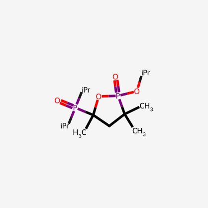 CC(C)OP1(=O)OC(C)(P(=O)(C(C)C)C(C)C)CC1(C)C